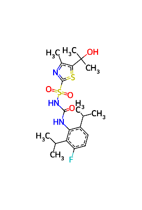 Cc1nc(S(=O)(=O)NC(=O)Nc2c(C(C)C)ccc(F)c2C(C)C)sc1C(C)(C)O